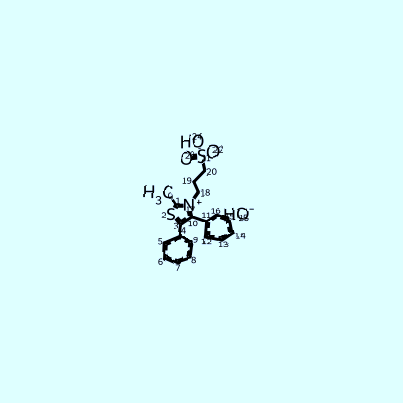 Cc1sc(-c2ccccc2)c(-c2ccccc2)[n+]1CCCS(=O)(=O)O.[OH-]